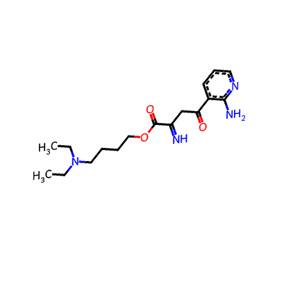 CCN(CC)CCCCOC(=O)C(=N)CC(=O)c1cccnc1N